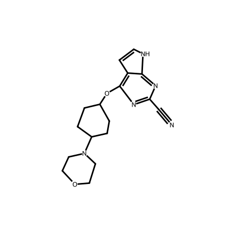 N#Cc1nc(OC2CCC(N3CCOCC3)CC2)c2cc[nH]c2n1